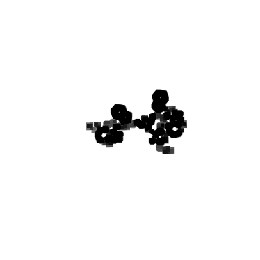 C[C@@H](C(=O)N[C@H]1CCS[C@H]2CC(C)(C)[C@@H](C(=O)N[C@H]3c4ccccc4C[C@H]3OCCS(=O)(=O)CCO[C@@H]3Cc4ccccc4[C@@H]3NC(=O)[C@H]3N4C(=O)[C@@H](N)CCS[C@H]4CC3(C)C)N2C1=O)N(C)C(=O)OC(C)(C)C